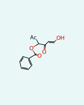 CC(=O)C(OC(=O)c1ccccc1)C(=O)C=CO